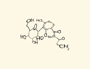 C=CC(=O)c1coc2c(C3OC(CO)C(O)C(O)C3O)c(O)ccc2c1=O